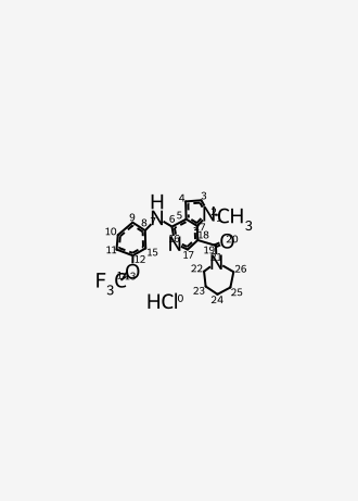 Cl.Cn1ccc2c(Nc3cccc(OC(F)(F)F)c3)ncc(C(=O)N3CCCCC3)c21